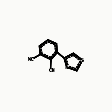 N#Cc1cccc(-c2cs[c]n2)c1C#N